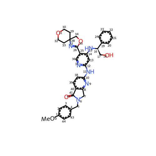 COc1ccc(CN2Cc3nc(Nc4cc(N[C@H](CO)c5ccccc5)c(C5=NC6(CCOCC6)CO5)cn4)ccc3C2=O)cc1